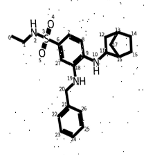 CCNS(=O)(=O)c1ccc(NC2CC3CCC2C3)c(NCc2ccccc2)c1